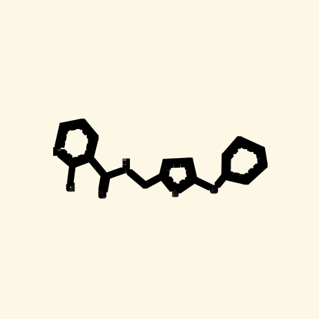 O=C(NCc1ccc(Oc2ccccc2)s1)c1cccnc1Cl